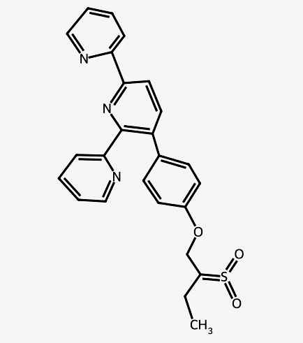 CCC(COc1ccc(-c2ccc(-c3ccccn3)nc2-c2ccccn2)cc1)=S(=O)=O